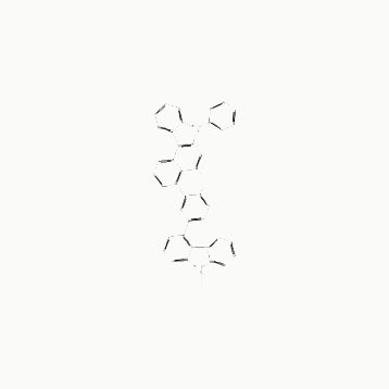 c1ccc(-n2c3ccccc3c3c4cccc5c4c(cc32)Sc2ccc(-c3cccc4[nH]c6ccccc6c34)cc2-5)cc1